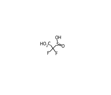 O=C(O)C(F)(F)S(=O)O